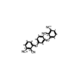 N#Cc1cccc(Oc2cccc(Oc3cccc(C#N)c3C#N)c2)c1C#N